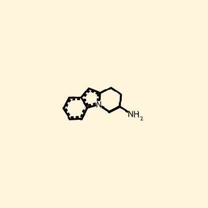 NC1CCc2cc3ccccc3n2C1